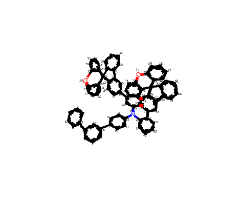 c1ccc(-c2cccc(-c3ccc(N(c4cccc(-c5ccc6c(c5)-c5ccccc5C65c6ccccc6Oc6ccccc65)c4)c4ccccc4-c4ccc5c(c4)-c4ccccc4C54c5ccccc5Oc5ccccc54)cc3)c2)cc1